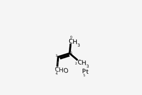 CC(C)=CC=O.[Pt]